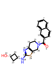 O=C(c1ccc2ccccc2c1)N1CCc2nc(N[C@H]3C[C@@H](O)C3)sc2C1